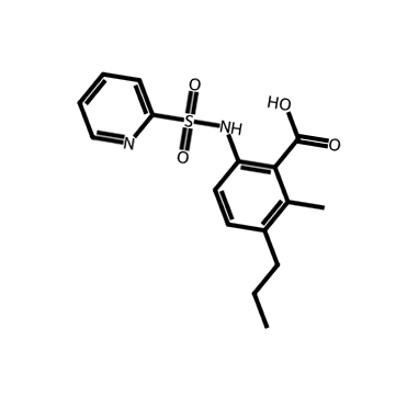 CCCc1ccc(NS(=O)(=O)c2ccccn2)c(C(=O)O)c1C